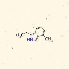 CCc1[nH]cc2c(C)cccc12